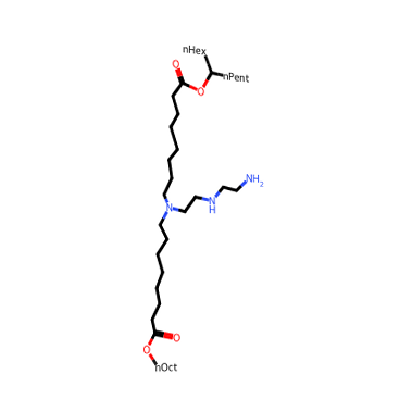 CCCCCCCCOC(=O)CCCCCCCN(CCCCCCCC(=O)OC(CCCCC)CCCCCC)CCNCCN